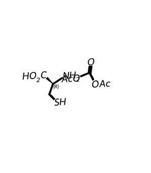 CC(=O)OC(=O)OC(C)=O.N[C@@H](CS)C(=O)O